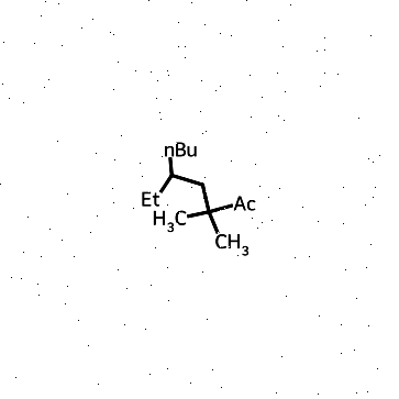 CCCCC(CC)CC(C)(C)C(C)=O